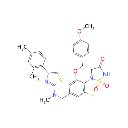 COc1ccc(COc2cc(CN(C)c3nc(-c4ccc(C)cc4C)cs3)cc(F)c2N2CC(=O)NS2(=O)=O)cc1